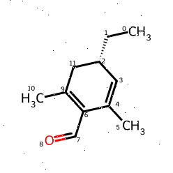 CC[C@@H]1C=C(C)C(C=O)=C(C)C1